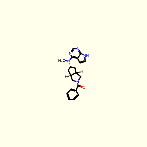 CN(c1ncnc2[nH]ccc12)[C@@H]1C[C@@H]2CN(C(=O)c3ccccc3)C[C@@H]2C1